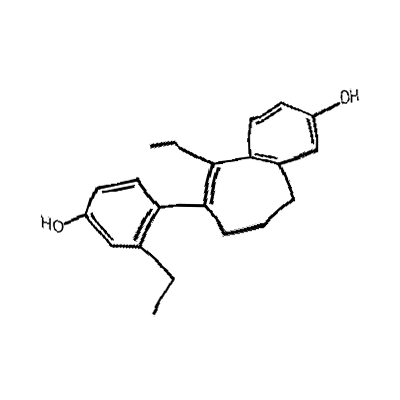 CCC1=C(c2ccc(O)cc2CC)CCCc2cc(O)ccc21